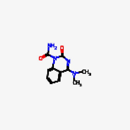 CN(C)c1nc(=O)n(C(N)=O)c2ccccc12